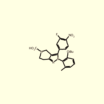 Cc1cccc(OCC(C)C)c1-n1nc2c(c1-c1ccc([N+](=O)[O-])c(F)c1)CN(C(=O)O)CC2